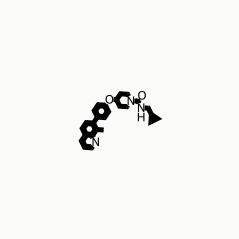 Cc1c(-c2ccc(OC3CCN(C(=O)NCC4CC4)CC3)cc2)ccc2cccnc12